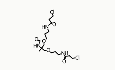 CC(COCCCNC(=O)CCCl)(COCCCNC(=O)CCCl)NC=O